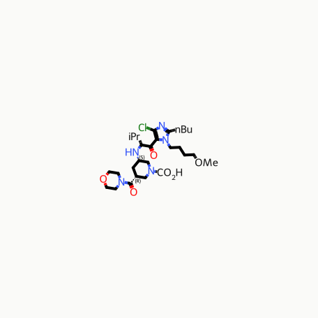 CCCCc1nc(Cl)c(C(=O)C(N[C@H]2C[C@@H](C(=O)N3CCOCC3)CN(C(=O)O)C2)C(C)C)n1CCCCOC